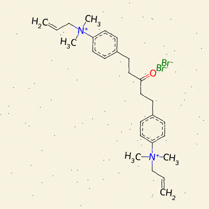 C=CC[N+](C)(C)c1ccc(CCC(=O)CCc2ccc([N+](C)(C)CC=C)cc2)cc1.[Br-].[Br-]